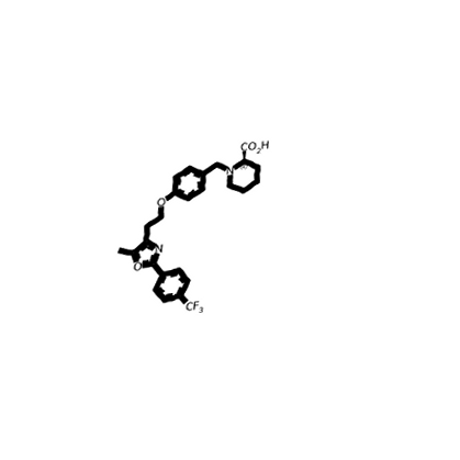 Cc1oc(-c2ccc(C(F)(F)F)cc2)nc1CCOc1ccc(CN2CCCC[C@@H]2C(=O)O)cc1